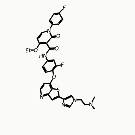 CCOc1ccn(-c2ccc(F)cc2)c(=O)c1C(=O)Nc1ccc(Oc2ccnc3cc(-c4cn(CCN(C)C)cn4)sc23)c(F)c1